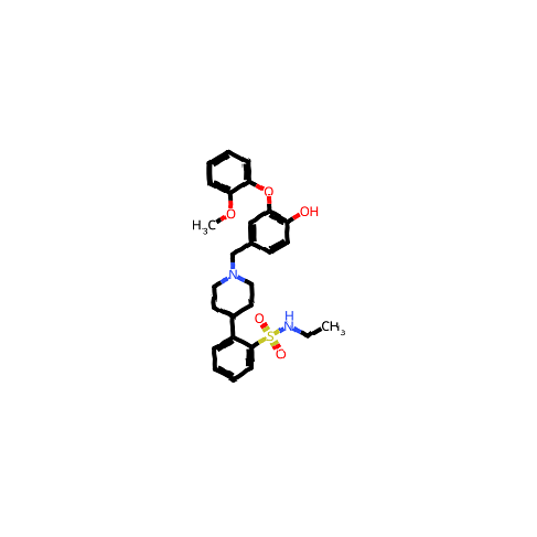 CCNS(=O)(=O)c1ccccc1C1CCN(Cc2ccc(O)c(Oc3ccccc3OC)c2)CC1